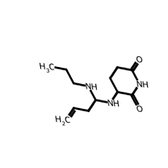 C=CCC(NCCC)NC1CCC(=O)NC1=O